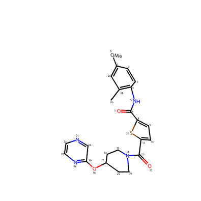 COc1ccc(NC(=O)c2ccc(C(=O)N3CCC(Oc4cnccn4)CC3)s2)c(C)c1